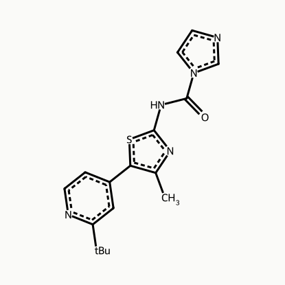 Cc1nc(NC(=O)n2ccnc2)sc1-c1ccnc(C(C)(C)C)c1